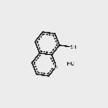 Cl.Sc1cccc2cccnc12